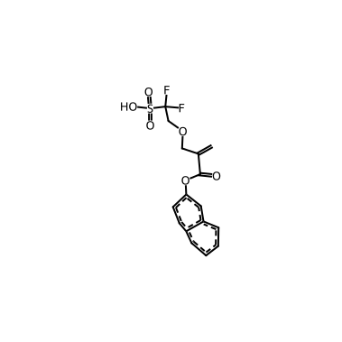 C=C(COCC(F)(F)S(=O)(=O)O)C(=O)Oc1ccc2ccccc2c1